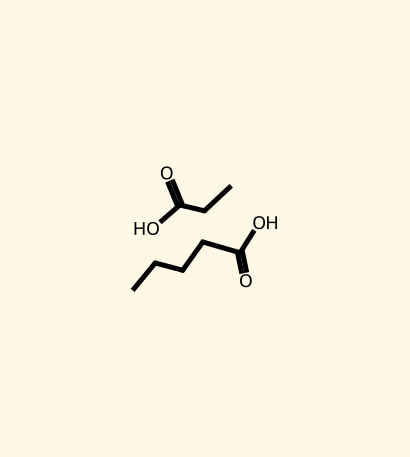 CCC(=O)O.CCCCC(=O)O